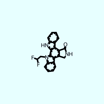 O=C1NCc2c1c1c3ccccc3[nH]c1c1c2c2ccccc2n1CC(F)F